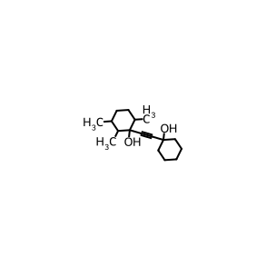 CC1CCC(C)C(O)(C#CC2(O)CCCCC2)C1C